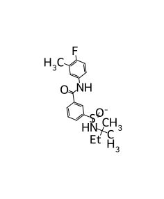 CCC(C)(C)N[S+]([O-])c1cccc(C(=O)Nc2ccc(F)c(C)c2)c1